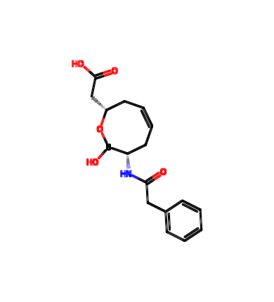 O=C(O)C[C@@H]1C/C=C\C[C@H](NC(=O)Cc2ccccc2)B(O)O1